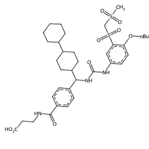 CCCCOc1ccc(NC(=O)NC(c2ccc(C(=O)NCCC(=O)O)cc2)C2CCC(C3CCCCC3)CC2)cc1S(=O)(=O)CS(C)(=O)=O